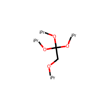 CC(C)OCC(OC(C)C)(OC(C)C)OC(C)C